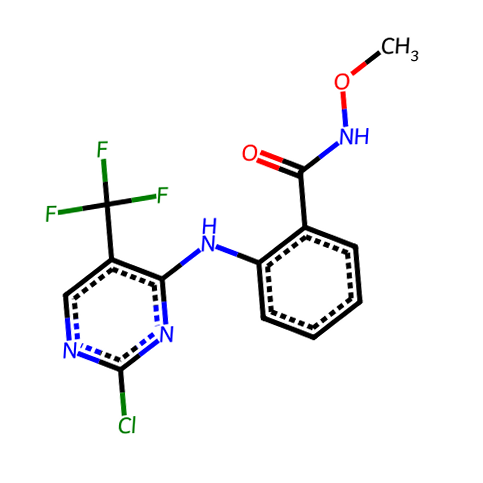 CONC(=O)c1ccccc1Nc1nc(Cl)ncc1C(F)(F)F